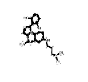 Cc1cccc(Cl)c1-c1ncc2c(N)nc3cc(NCCCN(C)C)ccc3n12